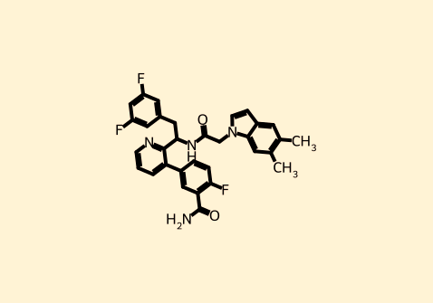 Cc1cc2ccn(CC(=O)NC(Cc3cc(F)cc(F)c3)c3ncccc3-c3ccc(F)c(C(N)=O)c3)c2cc1C